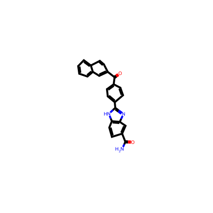 NC(=O)c1ccc2[nH]c(-c3ccc(C(=O)c4ccc5ccccc5c4)cc3)nc2c1